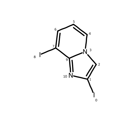 Ic1cn2cccc(I)c2n1